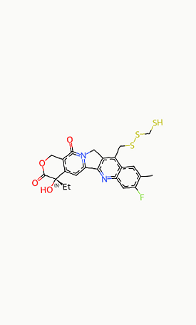 CC[C@@]1(O)C(=O)OCc2c1cc1n(c2=O)Cc2c-1nc1cc(F)c(C)cc1c2CSSCS